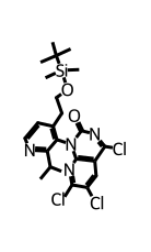 CC(C)c1nccc(CCO[Si](C)(C)C(C)(C)C)c1-n1c(=O)nc(Cl)c2cc(Cl)c(Cl)nc21